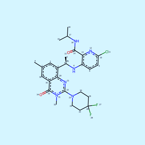 Cc1cc([C@@H](C)Nc2ccc(Cl)nc2C(=O)NC(C)C)c2nc(N3CCC(F)(F)CC3)n(C)c(=O)c2c1